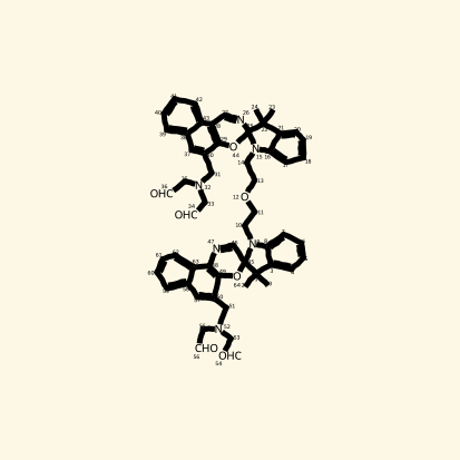 CC1(C)c2ccccc2N(CCOCCN2c3ccccc3C(C)(C)C23N=Cc2c(c(CN(CC=O)CC=O)cc4ccccc24)O3)C12C=Nc1c(c(CN(CC=O)CC=O)cc3ccccc13)O2